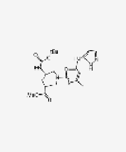 COC(=O)C1CC(NC(=O)OC(C)(C)C)CN(c2nc(C)cc(Nc3ccn[nH]3)n2)C1